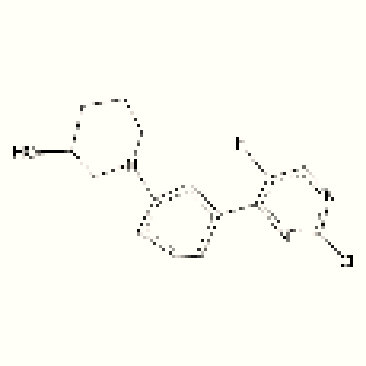 O[C@H]1CCCN(c2cccc(-c3nc(Cl)ncc3F)c2)C1